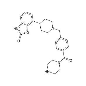 O=C(c1ccc(CN2CCC(c3cccc4[nH]c(=O)oc34)CC2)cc1)N1CCNCC1